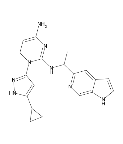 CC(NC1=NC(N)=CCN1c1cc(C2CC2)[nH]n1)c1cc2cc[nH]c2cn1